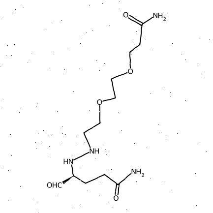 NC(=O)CCOCCOCCNN[C@H](C=O)CCC(N)=O